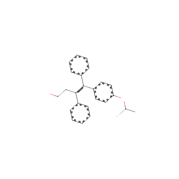 CC(Br)Oc1ccc(C(=C(CCO)c2ccccc2)c2ccccc2)cc1